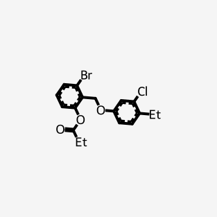 CCC(=O)Oc1cccc(Br)c1COc1ccc(CC)c(Cl)c1